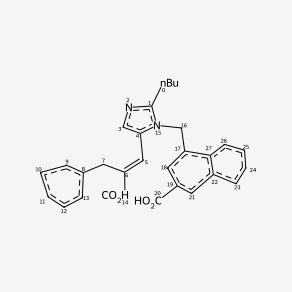 CCCCc1ncc(C=C(Cc2ccccc2)C(=O)O)n1Cc1cc(C(=O)O)cc2ccccc12